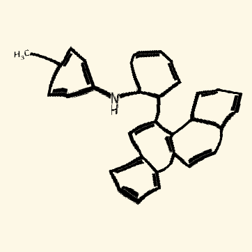 Cc1ccc(NC2C=CC=CC2c2cc3ccccc3c3c2C2C=CC=CC2C=C3)cc1